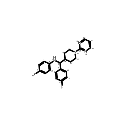 Fc1ccc(NC(c2ccc(F)cc2)C2CCN(c3ncccn3)CC2)cc1